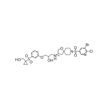 O=S(=O)(c1cnc(Cl)c(Br)c1)N1CCC2(CC1)C[C@@H](NCC(O)COc1cccc(S(=O)(=O)C3(CO)CC3)c1)CO2